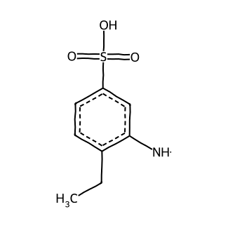 CCc1ccc(S(=O)(=O)O)cc1[NH]